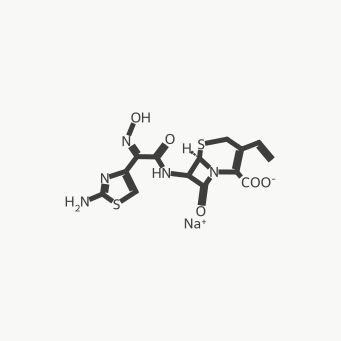 C=CC1=C(C(=O)[O-])N2C(=O)C(NC(=O)/C(=N\O)c3csc(N)n3)[C@H]2SC1.[Na+]